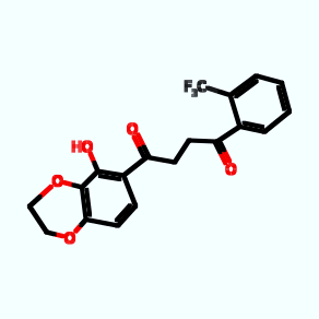 O=C(CCC(=O)c1ccc2c(c1O)OCCO2)c1ccccc1C(F)(F)F